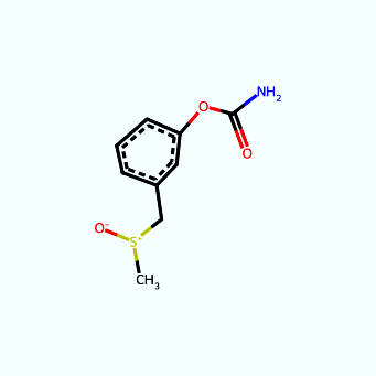 C[S+]([O-])Cc1cccc(OC(N)=O)c1